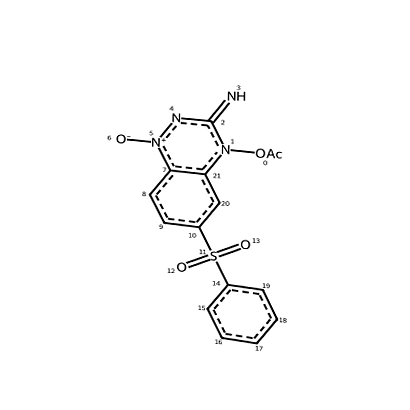 CC(=O)On1c(=N)n[n+]([O-])c2ccc(S(=O)(=O)c3ccccc3)cc21